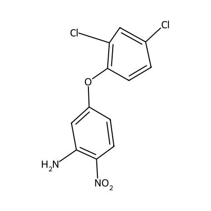 Nc1cc(Oc2ccc(Cl)cc2Cl)ccc1[N+](=O)[O-]